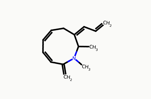 C=C/C=C1/C/C=C\C=C/C(=C)N(C)C1C